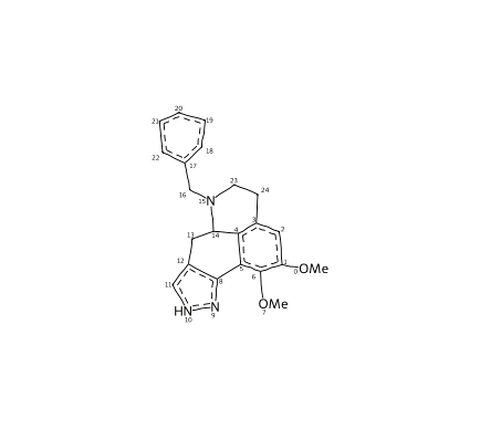 COc1cc2c3c(c1OC)-c1n[nH]cc1CC3N(Cc1ccccc1)CC2